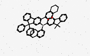 CC1(C)c2ccccc2-c2ccc(N(c3cc4c(cc3-c3ccc5c(c3)CCCC5)-c3ccccc3C4(c3ccccc3)c3ccccc3)c3cccc4c3CCCC4)cc21